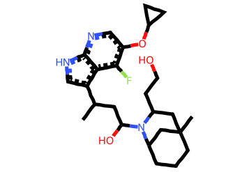 CC(CC(O)N1C(CCO)CC2(C)CCCC1C2)c1c[nH]c2ncc(OC3CC3)c(F)c12